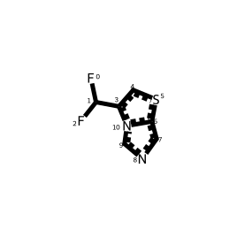 FC(F)c1csc2cncn12